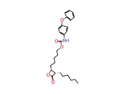 CCCCCC[C@@H]1C(=O)O[C@H]1CCCCCOC(=O)Nc1ccc(Oc2ccccc2)cc1